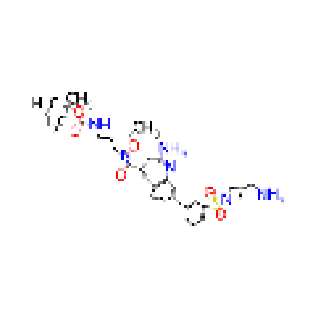 CCON(CCCNC(=O)OC(C)(C)C)C(=O)C1=Cc2ccc(-c3cccc(S(=O)(=O)N4CC(CN)C4)c3)cc2N=C(N)C1